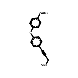 CC(=O)NCC#Cc1ccc(Oc2ccc(OC(C)C)cc2)cc1